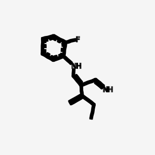 C=C(CC)/C(C=N)=C/Nc1ccccc1F